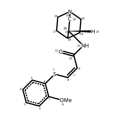 COc1ccccc1S/C=C\C(=O)N[C@H]1CN2CCC1CC2